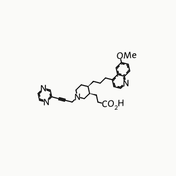 COc1ccc2nccc(CCC[C@@H]3CCN(CC#Cc4cnccn4)C[C@@H]3CCC(=O)O)c2c1